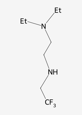 CCN(CC)CCNCC(F)(F)F